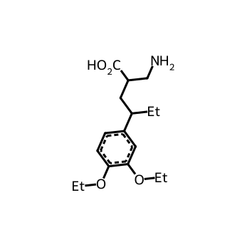 CCOc1ccc(C(CC)CC(CN)C(=O)O)cc1OCC